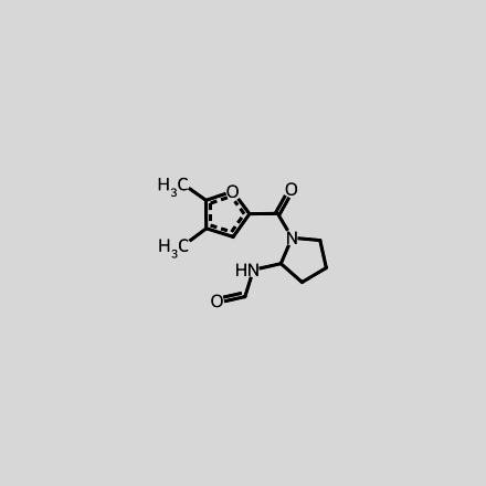 Cc1cc(C(=O)N2CCCC2NC=O)oc1C